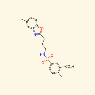 Cc1ccc2oc(CCCNS(=O)(=O)c3ccc(C)c(C(=O)O)c3)nc2c1